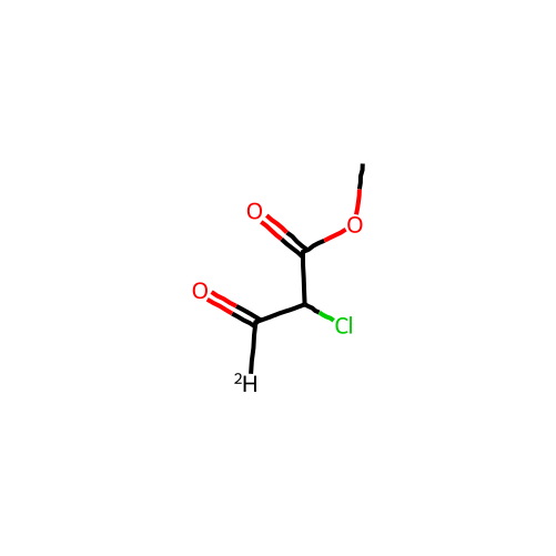 [2H]C(=O)C(Cl)C(=O)OC